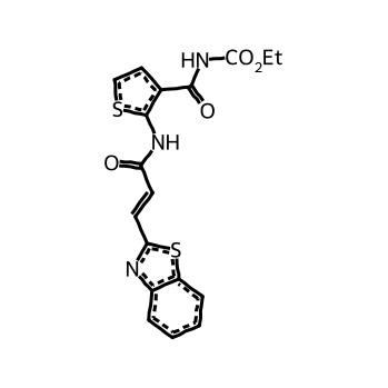 CCOC(=O)NC(=O)c1ccsc1NC(=O)/C=C/c1nc2ccccc2s1